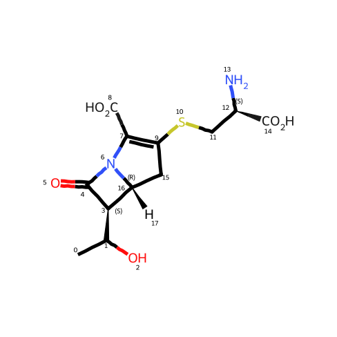 CC(O)[C@H]1C(=O)N2C(C(=O)O)=C(SC[C@@H](N)C(=O)O)C[C@H]12